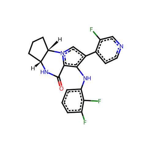 O=C1N[C@@H]2CCC[C@@H]2n2cc(-c3ccncc3F)c(Nc3cccc(F)c3F)c21